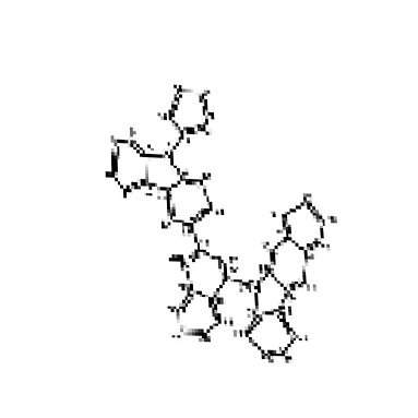 c1ccc(-n2c3ccccc3c3cc(-c4nc(-n5c6ccccc6c6cc7ccccc7cc65)c5ccccc5n4)ccc32)cc1